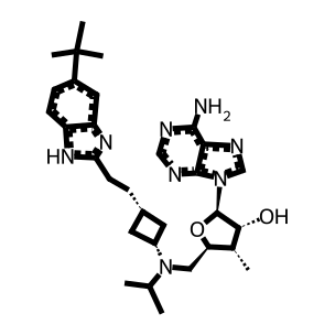 CC(C)N(C[C@H]1O[C@@H](n2cnc3c(N)ncnc32)[C@H](O)[C@@H]1C)[C@H]1C[C@@H](CCc2nc3cc(C(C)(C)C)ccc3[nH]2)C1